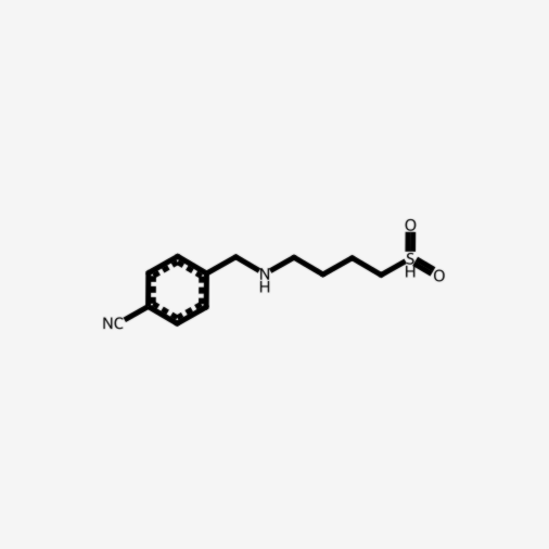 N#Cc1ccc(CNCCCC[SH](=O)=O)cc1